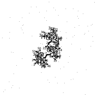 [3H][Si](C)(C)O[Si](CCC[Si](O[Si]([3H])(C)C)(O[Si]([3H])(C)C)O[Si](C)(C)CC[Si](O[Si]([3H])(C)C)(O[Si]([3H])(C)C)O[Si]([3H])(C)C)(O[Si]([3H])(C)C)O[Si]([3H])(C)C